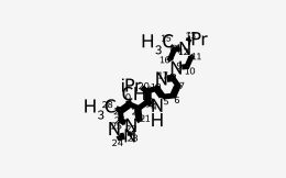 Cc1c(-c2[nH]c3ccc(N4CCN(C(C)C)[C@H](C)C4)nc3c2C(C)C)cn2ncnc2c1C